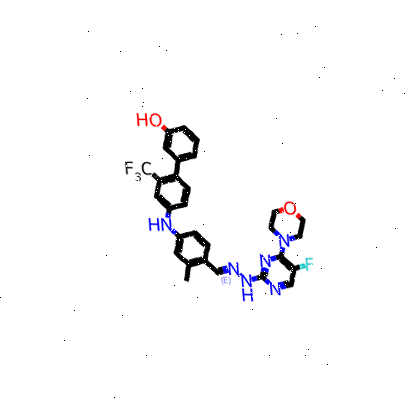 Cc1cc(Nc2ccc(-c3cccc(O)c3)c(C(F)(F)F)c2)ccc1/C=N/Nc1ncc(F)c(N2CCOCC2)n1